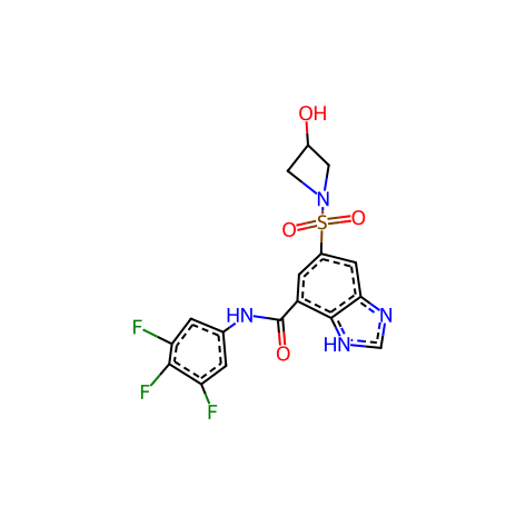 O=C(Nc1cc(F)c(F)c(F)c1)c1cc(S(=O)(=O)N2CC(O)C2)cc2nc[nH]c12